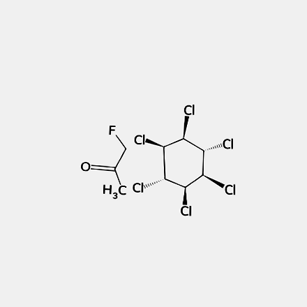 CC(=O)CF.Cl[C@H]1[C@H](Cl)[C@@H](Cl)[C@@H](Cl)[C@H](Cl)[C@H]1Cl